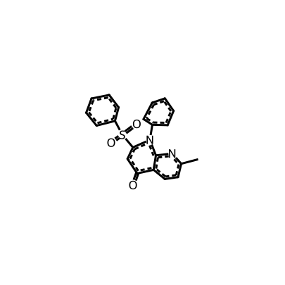 Cc1ccc2c(=O)cc(S(=O)(=O)c3ccccc3)n(-c3ccccc3)c2n1